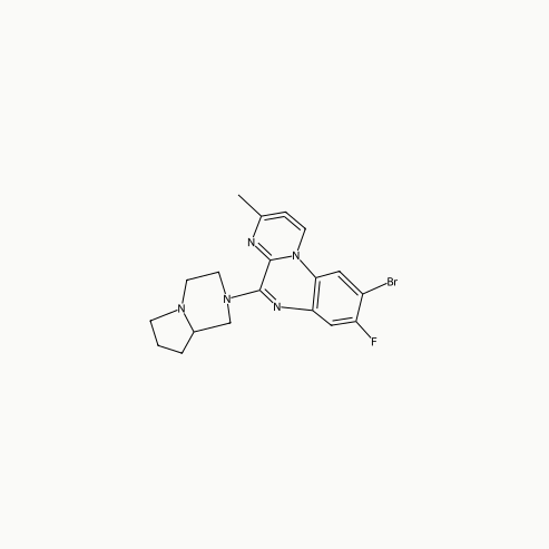 CC1=C=CN2C(=N1)C(N1CCN3CCCC3C1)=Nc1cc(F)c(Br)cc12